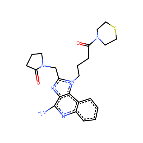 Nc1nc2ccccc2c2c1nc(CN1CCCC1=O)n2CCCC(=O)N1CCSCC1